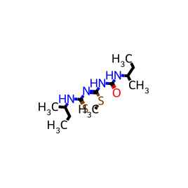 CCC(C)NC(=O)NC(=NC(=S)NC(C)CC)SC